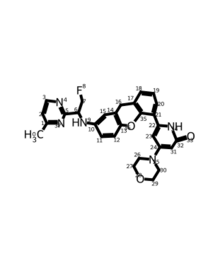 Cc1ccnc(C(CF)Nc2ccc3c(c2)Cc2cccc(-c4cc(N5CCOCC5)cc(=O)[nH]4)c2O3)n1